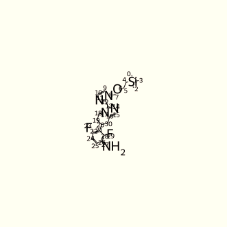 C[Si](C)(C)CCOCn1ccnc1-c1ncc2n1CCC(c1c(F)ccc(N)c1F)C2